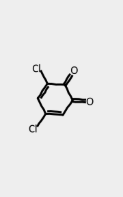 O=C1C=C(Cl)C=C(Cl)C1=O